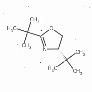 CC(C)(C)C1=N[C@@H](C(C)(C)C)CO1